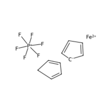 C1=CCC=C1.F[P-](F)(F)(F)(F)F.[Fe+2].c1cc[cH-]c1